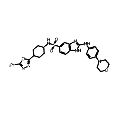 CC(C)c1nnc(C2CCC(NS(=O)(=O)c3ccc4[nH]c(Nc5ccc(N6CCOCC6)cc5)nc4c3)CC2)o1